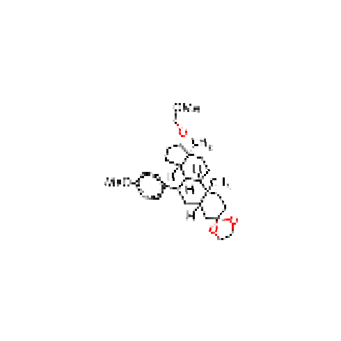 COCO[C@H]1CC[C@H]2[C@@H]3C(c4ccc(OC)cc4)C[C@H]4CC5(CC[C@]4(C)[C@H]3CC[C@]12C)OCCO5